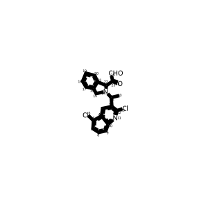 CC(c1cc2c(Cl)cccc2nc1Cl)N1Cc2ccccc2C1C(=O)C=O